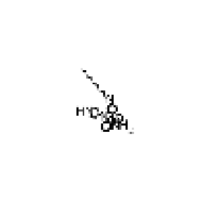 CCCCCCCCCN(C)c1ccc(S(N)(=O)=O)c(N(c2ccccc2)C2CCNCC2)c1